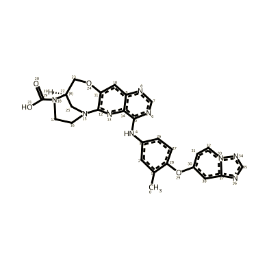 Cc1cc(Nc2ncnc3cc4c(nc23)N2CCN(C(=O)O)[C@@H](CO4)C2)ccc1Oc1ccn2ncnc2c1